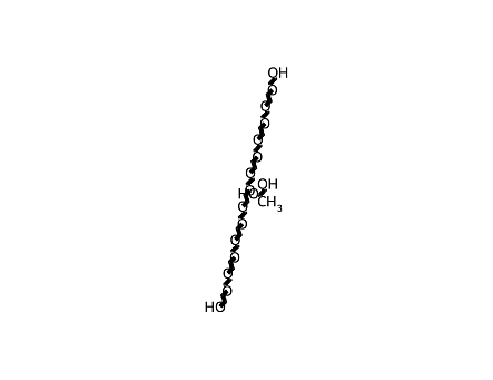 CC(O)CO.OCCOCCOCCOCCOCCOCCOCCOCCOCCOCCOCCOCCOCCOCCO